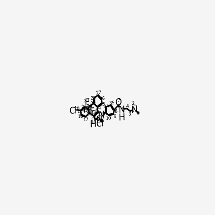 CN(C)CCNC(=O)c1ccc(-n2ncc(-c3ccc(Cl)cc3)c2-c2ccccc2C(F)(F)F)cc1.Cl